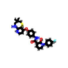 CC1(C)CNc2nccc(Oc3ccc(NC(=O)c4cccn(-c5ccc(F)cc5)c4=O)cc3)c2SC1